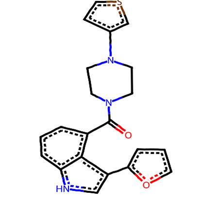 O=C(c1cccc2[nH]cc(-c3ccco3)c12)N1CCN(c2ccsc2)CC1